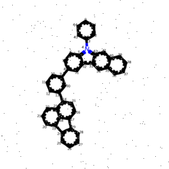 c1ccc(-n2c3ccc(-c4cccc(-c5ccc6c7c(cccc57)-c5ccccc5-6)c4)cc3c3cc4ccccc4cc32)cc1